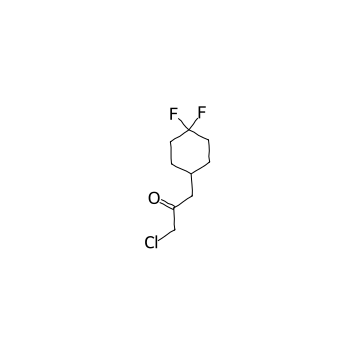 O=C(CCl)CC1CCC(F)(F)CC1